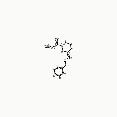 CC(C)(C)OC(=O)N1CCCC(=NOCc2ccccc2)C1